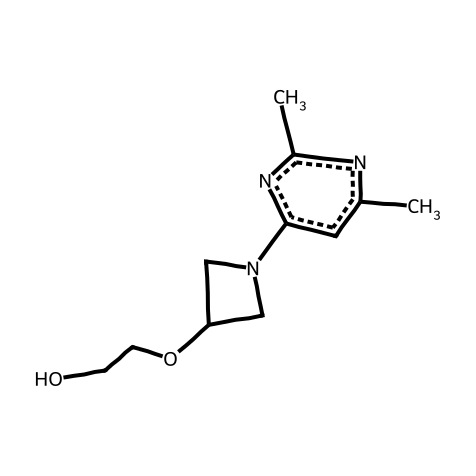 Cc1cc(N2CC(OCCO)C2)nc(C)n1